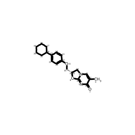 Cc1cn2c(nc1=O)O[C@H](COc1ccc(C3CCCCC3)cc1)C2